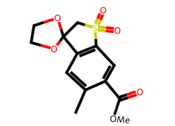 COC(=O)c1cc2c(cc1C)C1(CS2(=O)=O)OCCO1